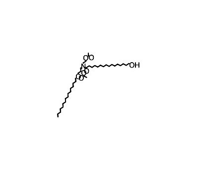 CCCCCCCCCCCCCCCCOCC(CN(CCOC(C)=O)C(=O)CCCCCCCCCCCCCCCO)OC(C)=O